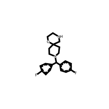 Fc1ccc(C(c2ccc(F)cc2)N2CCC3(CC2)CNCCO3)cc1